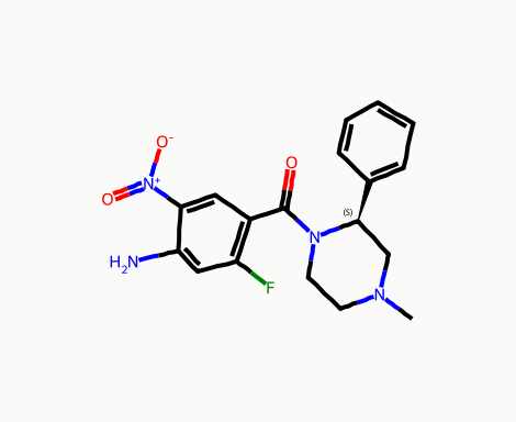 CN1CCN(C(=O)c2cc([N+](=O)[O-])c(N)cc2F)[C@@H](c2ccccc2)C1